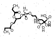 CCC(=O)OCC(COP(C)(=O)OCCNCC(O)(P(=O)(O)O)P(=O)(O)O)OC(=O)CC